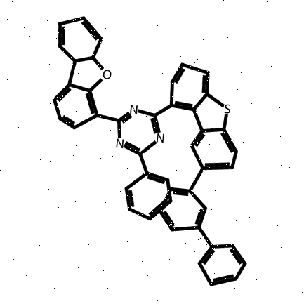 C1=CC2Oc3c(-c4nc(-c5ccccc5)nc(-c5cccc6sc7ccc(-c8cccc(-c9ccccc9)c8)cc7c56)n4)cccc3C2C=C1